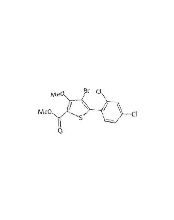 COC(=O)c1sc(-c2ccc(Cl)cc2Cl)c(Br)c1OC